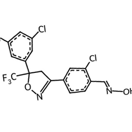 O/N=C/c1ccc(C2=NOC(c3cc(Cl)cc(Cl)c3)(C(F)(F)F)C2)cc1Cl